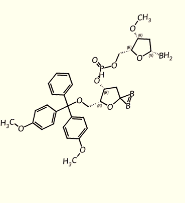 B[C@H]1C[C@@H](OC)[C@@H](CO[PH](=O)O[C@@H]2CC3(B=B3)O[C@@H]2COC(c2ccccc2)(c2ccc(OC)cc2)c2ccc(OC)cc2)O1